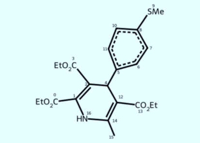 CCOC(=O)C1=C(C(=O)OCC)C(c2ccc(SC)cc2)C(C(=O)OCC)=C(C)N1